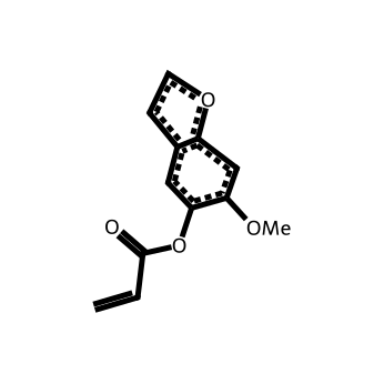 C=CC(=O)Oc1cc2ccoc2cc1OC